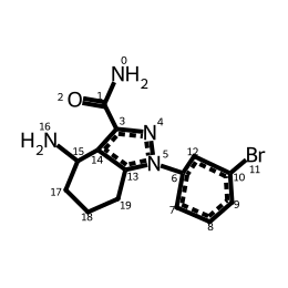 NC(=O)c1nn(-c2cccc(Br)c2)c2c1C(N)CCC2